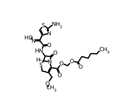 CCCCCC(=O)OCOC(=O)C1=C(COC)CS[C@H]2C(NC(=O)C(=NO)c3csc(N)n3)C(=O)N12